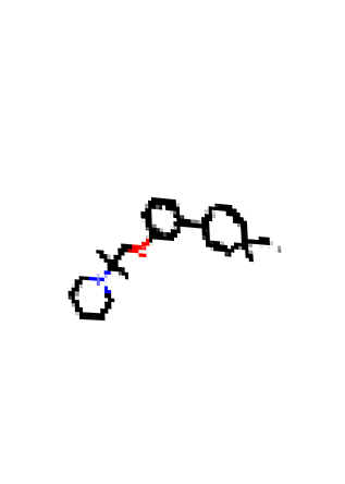 BC1(C)C=CC=C(c2cccc(OCC(C)(C)N3CCCCC3)c2)C=C1